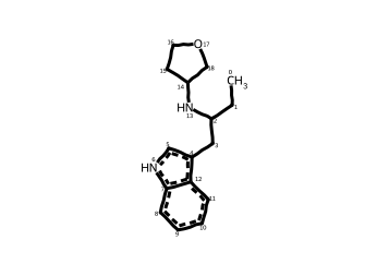 CCC(Cc1c[nH]c2ccccc12)NC1CCOC1